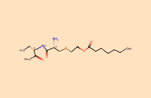 CCCCCCCCCCCCCCCC(=O)OCCSC[C@@H](N)C(=O)N[C@@H](COC(C)=O)C(=O)OC